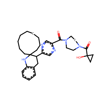 O=C(c1cnc(C2Cc3ccccc3NC23CCCCCCCCC3)cn1)N1CCN(C(=O)C2(O)CC2)CC1